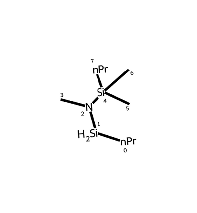 CCC[SiH2]N(C)[Si](C)(C)CCC